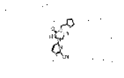 CC(C)CN(NC(=O)OCC1CCCC1)c1ccnc(C#N)n1